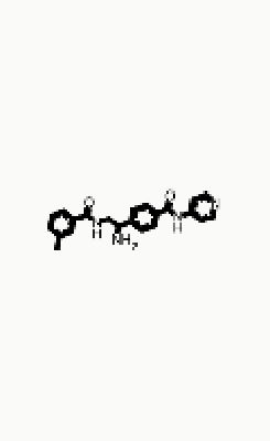 Cc1cccc(C(=O)NCC(N)c2ccc(C(=O)Nc3ccncc3)cc2)c1